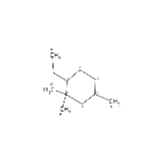 CCC1CCC(C)CC1(C)C